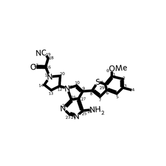 COc1cc(C)cc2cc(-c3cn(C4CCN(C(=O)CC#N)C4)c4ncnc(N)c34)sc12